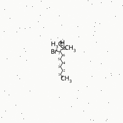 CCCCCCCC(Br)[SiH](C)C